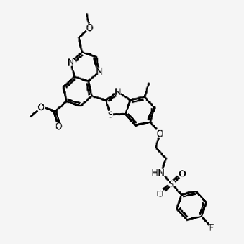 COCc1cnc2c(-c3nc4c(C)cc(OCCNS(=O)(=O)c5ccc(F)cc5)cc4s3)cc(C(=O)OC)cc2n1